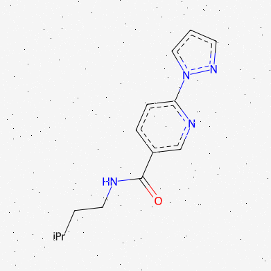 CC(C)CCNC(=O)c1ccc(-n2cccn2)nc1